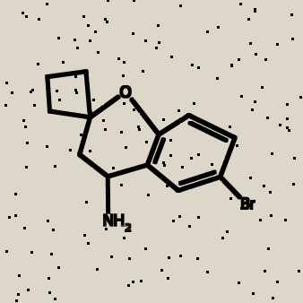 NC1CC2(CCC2)Oc2ccc(Br)cc21